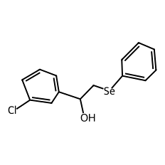 OC(C[Se]c1ccccc1)c1cccc(Cl)c1